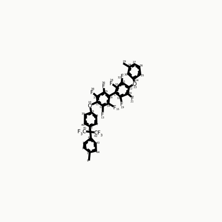 Cc1ccc(C(c2ccc(Oc3c(F)c(F)c(-c4c(F)c(F)c(Oc5cccc(C)c5)c(F)c4F)c(F)c3F)cc2)(C(F)(F)F)C(F)(F)F)cc1